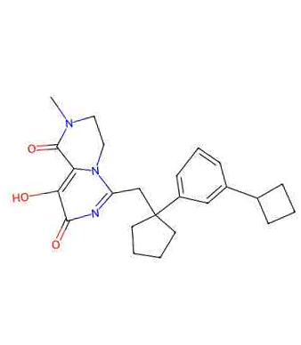 CN1CCn2c(CC3(c4cccc(C5CCC5)c4)CCCC3)nc(=O)c(O)c2C1=O